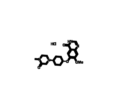 COc1cc2nc[nH]c(=O)c2cc1O[C@H]1CC[C@H](N2CCN(C)C(=O)C2)CC1.Cl